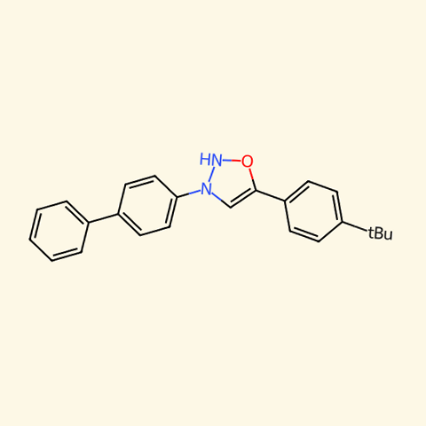 CC(C)(C)c1ccc(C2=CN(c3ccc(-c4ccccc4)cc3)NO2)cc1